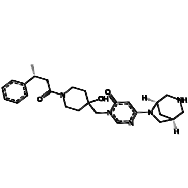 C[C@H](CC(=O)N1CCC(O)(Cn2cnc(N3C[C@@H]4CNC[C@H]3C4)cc2=O)CC1)c1ccccc1